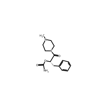 CN1CCN(C(=O)[C@H](Cc2ccccc2)OC(N)=O)CC1